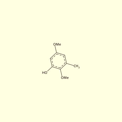 COc1cc(C)c(OC)c(O)c1